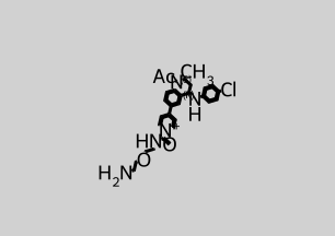 CC(=O)N1c2ccc(-c3cc[n+](C(=O)NCCOCCN)cc3)cc2[C@H](Nc2ccc(Cl)cc2)C[C@@H]1C